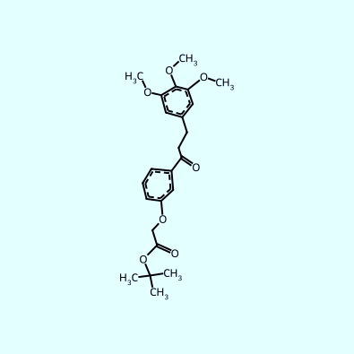 COc1cc(CCC(=O)c2cccc(OCC(=O)OC(C)(C)C)c2)cc(OC)c1OC